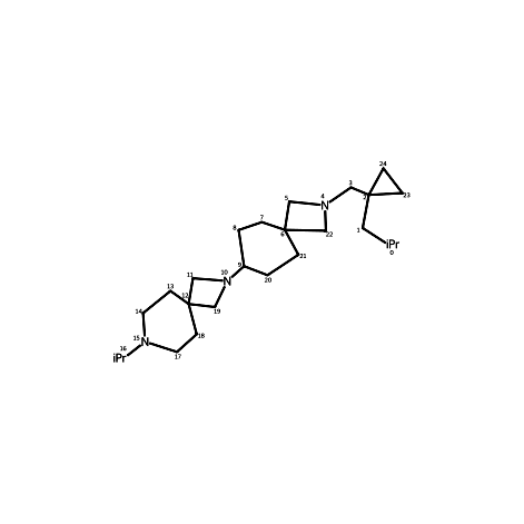 CC(C)CC1(CN2CC3(CCC(N4CC5(CCN(C(C)C)CC5)C4)CC3)C2)CC1